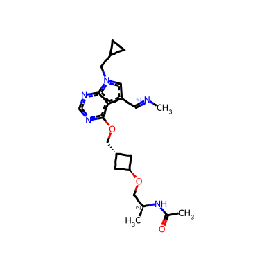 C/N=C/c1cn(CC2CC2)c2ncnc(OC[C@H]3C[C@H](OC[C@H](C)NC(C)=O)C3)c12